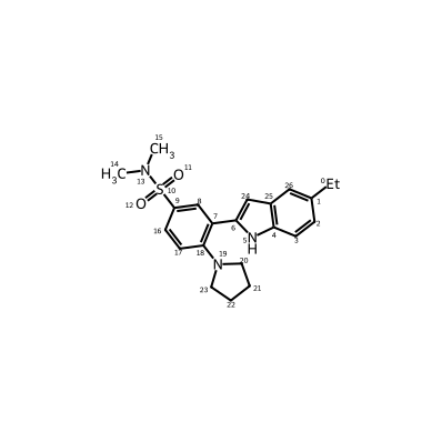 CCc1ccc2[nH]c(-c3cc(S(=O)(=O)N(C)C)ccc3N3CCCC3)cc2c1